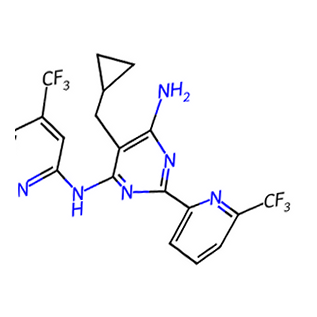 Nc1nc(-c2cccc(C(F)(F)F)n2)nc(Nc2cc(C(F)(F)F)ccn2)c1CC1CC1